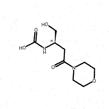 O=C(O)N[C@@H](CO)CC(=O)N1CCOCC1